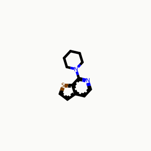 c1cc2ccsc2c(N2CCCCC2)n1